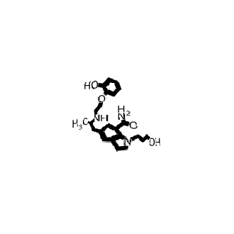 C[C@H](Cc1cc2c(c(C(N)=O)c1)N(CCCO)CC2)NCCOc1ccccc1O